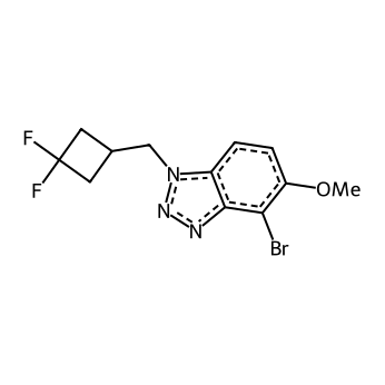 COc1ccc2c(nnn2CC2CC(F)(F)C2)c1Br